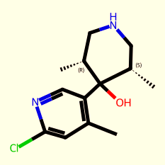 Cc1cc(Cl)ncc1C1(O)[C@H](C)CNC[C@@H]1C